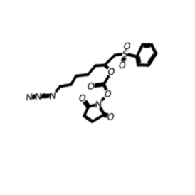 [N-]=[N+]=NCCCCCC(CS(=O)(=O)c1ccccc1)OC(=O)ON1C(=O)CCC1=O